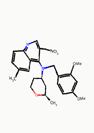 COc1ccc(CN(c2c([N+](=O)[O-])cnc3ccc(C)cc23)[C@@H]2CCO[C@H](C)C2)c(OC)c1